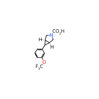 O=C(O)N1C[C@@H]2C(c3cccc(OC(F)(F)F)c3)[C@@H]2C1